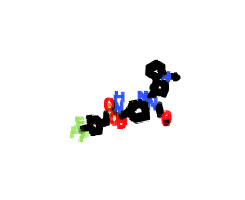 CCn1c2ccccc2c2cc(-c3nc4cc(C(=O)NS(=O)(=O)CCc5ccc(C(F)(F)F)cc5)ccc4n3CCOC)ccc21